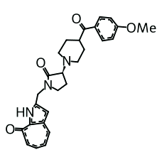 COc1ccc(C(=O)C2CCN([C@H]3CCN(Cc4cc5ccccc(=O)c5[nH]4)C3=O)CC2)cc1